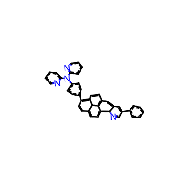 C1=CC(c2ccc(N(c3ccccn3)c3ccccn3)cc2)=C2C=CC3=C4C(=CC=C1C24)C1N=CC(c2ccccc2)=CC1=C3